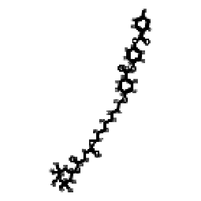 Cc1ccc(C(=O)Oc2ccc(OC(=O)c3ccc(OCCCCCCCCOC(=O)CCC(=O)OC4CC(C)(C)N(C)C(C)(C)C4)cc3)cc2)cc1